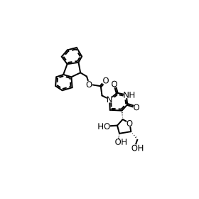 O=C(Cn1cc([C@@H]2O[C@H](CO)[C@H](O)C2O)c(=O)[nH]c1=O)OCC1c2ccccc2-c2ccccc21